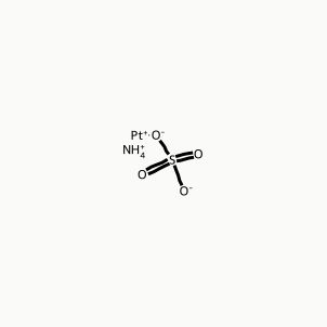 O=S(=O)([O-])[O-].[NH4+].[Pt+]